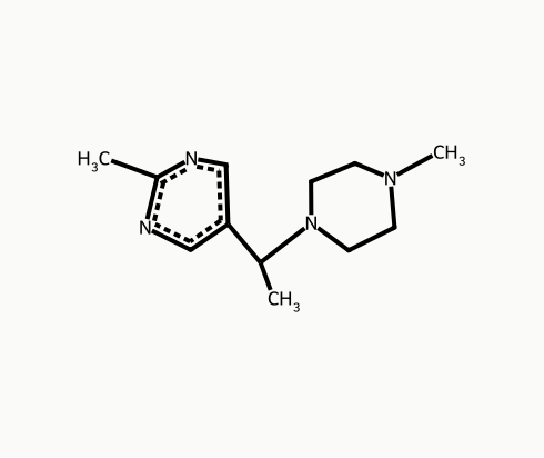 Cc1ncc(C(C)N2CCN(C)CC2)cn1